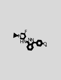 COc1ccc(-c2nnc(N[C@@H]3C[C@@H](F)CN(C4CC4)C3)c3ccccc23)cc1